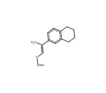 CCCCCCOC=C(C)c1ccc2c(c1)CCCC2